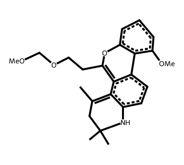 COCOCCC1=c2c(ccc3c2=C(C)CC(C)(C)N3)-c2c(OC)cccc2O1